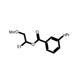 CCCc1cccc(C(=O)OC(CC)COC)c1